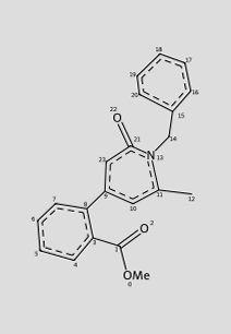 COC(=O)c1ccccc1-c1cc(C)n(Cc2ccccc2)c(=O)c1